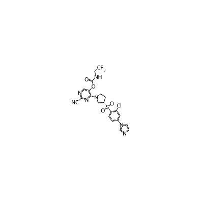 N#Cc1ncc(OC(=O)NCC(F)(F)F)c(N2CC[C@H](S(=O)(=O)c3ccc(-n4ccnc4)cc3Cl)C2)n1